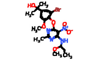 CCC(Nc1nc(C)nc(Oc2c(Br)cc(C(C)(C)O)cc2OC)c1[N+](=O)[O-])OC